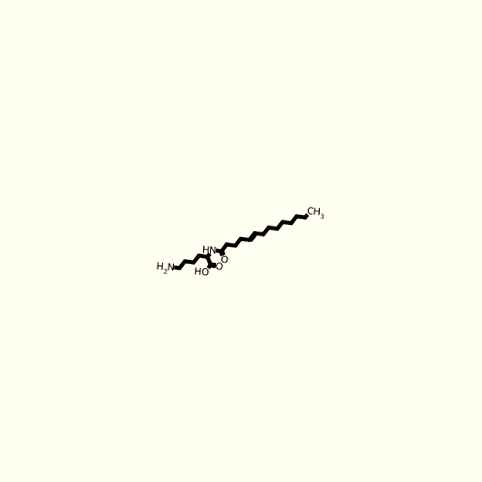 CCCCCCCCC=CCCCC(=O)NC(CCCCN)C(=O)O